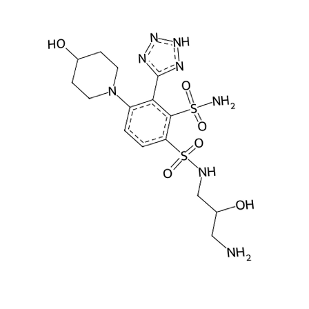 NCC(O)CNS(=O)(=O)c1ccc(N2CCC(O)CC2)c(-c2nn[nH]n2)c1S(N)(=O)=O